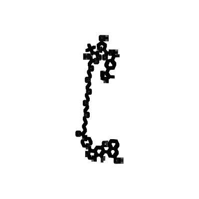 Cc1ncsc1-c1ccc([C@H](C)NC(=O)[C@@H]2C[C@@H](O)CN2C(=O)[C@@H](NC(=O)COCCOCCOCCOCCOCCCCC(=O)N2CCN(c3ncnc4c(F)c(-c5cc(O)cc6ccccc56)c(Cl)cc34)CC2)C(C)(C)C)cc1